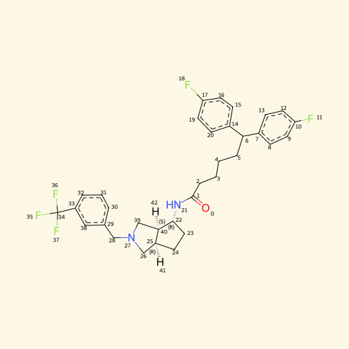 O=C(CCCCC(c1ccc(F)cc1)c1ccc(F)cc1)N[C@@H]1CC[C@H]2CN(Cc3cccc(C(F)(F)F)c3)C[C@H]21